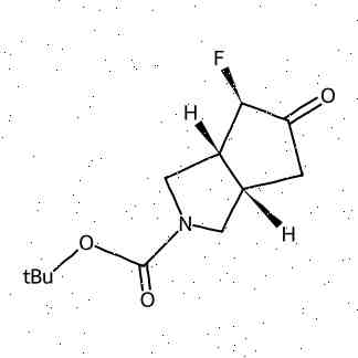 CC(C)(C)OC(=O)N1C[C@H]2CC(=O)[C@H](F)[C@H]2C1